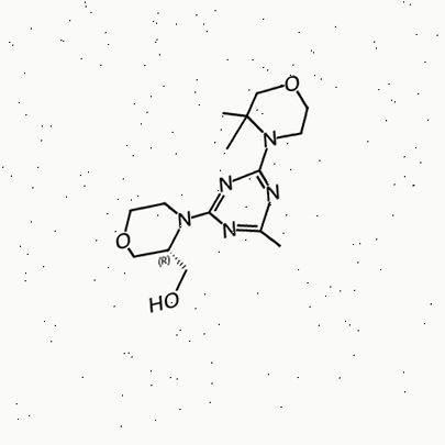 Cc1nc(N2CCOC[C@H]2CO)nc(N2CCOCC2(C)C)n1